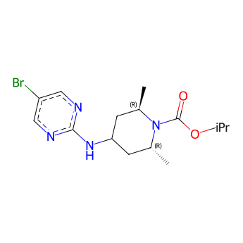 CC(C)OC(=O)N1[C@H](C)CC(Nc2ncc(Br)cn2)C[C@H]1C